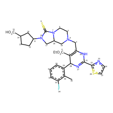 CCOC(=O)C1=C(CN2CCN3C(=S)N(C4CCC(C(=O)O)C4)CC3C2)NC(c2nccs2)=NC1c1cccc(F)c1C